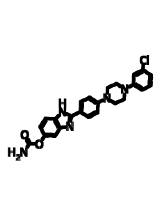 NC(=O)Oc1ccc2[nH]c(-c3ccc(N4CCN(c5cccc(Cl)c5)CC4)cc3)nc2c1